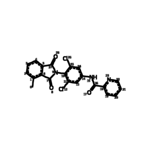 Cc1cccc2c1C(=O)N(c1c(Cl)cc(NC(=O)c3ccccn3)cc1Cl)C2=O